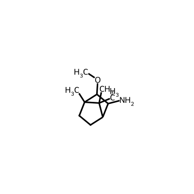 COC1C(N)C2CCC1(C)C2(C)C